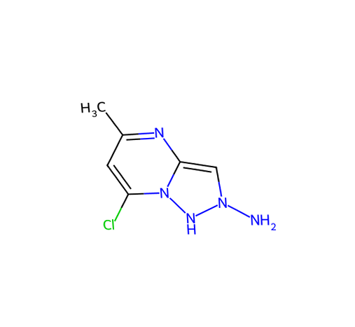 CC1=NC2=CN(N)NN2C(Cl)=C1